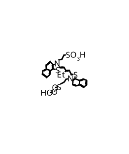 CCC(/C=C1\Sc2c(ccc3ccccc23)N1CCCS(=O)(=O)O)=C\c1sc2c3ccccc3ccc2[n+]1CCCSOOO